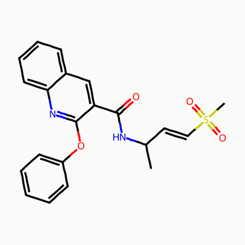 CC(/C=C/S(C)(=O)=O)NC(=O)c1cc2ccccc2nc1Oc1ccccc1